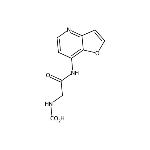 O=C(O)NCC(=O)Nc1ccnc2ccoc12